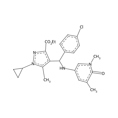 CCOC(=O)c1nn(C2CC2)c(C)c1C(Nc1cc(C)c(=O)n(C)c1)c1ccc(Cl)cc1